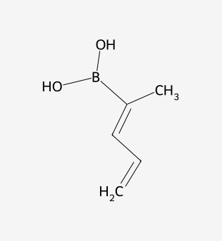 C=C/C=C(\C)B(O)O